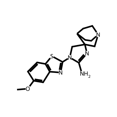 COc1ccc2sc(N3CC4(CN5CCC4CC5)N=C3N)nc2c1